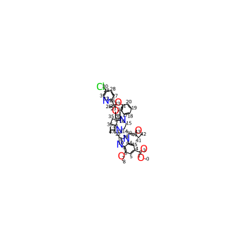 COC(=O)c1cc(OC)c2nc(CN3CCN(c4cccc5c4O[C@](C)(c4ccc(Cl)cn4)O5)[C@@H]4CC[C@H]43)n(C[C@@H]3CCO3)c2c1